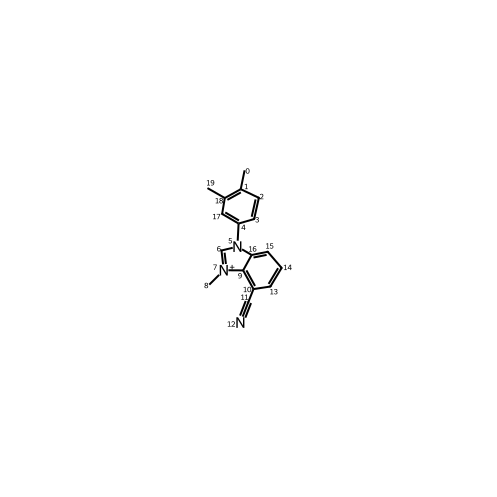 Cc1ccc(-n2c[n+](C)c3c(C#N)cccc32)cc1C